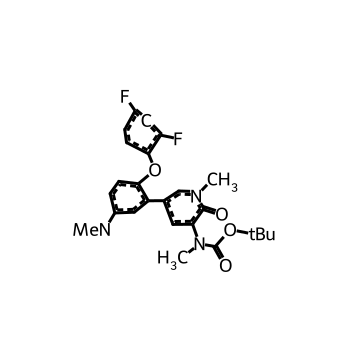 CNc1ccc(Oc2ccc(F)cc2F)c(-c2cc(N(C)C(=O)OC(C)(C)C)c(=O)n(C)c2)c1